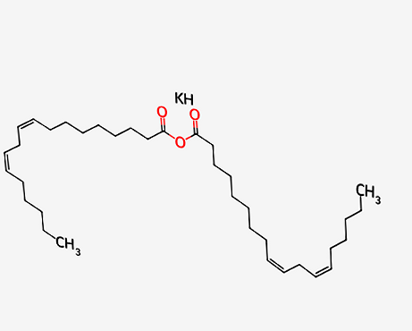 CCCCC/C=C\C/C=C\CCCCCCCC(=O)OC(=O)CCCCCCC/C=C\C/C=C\CCCCC.[KH]